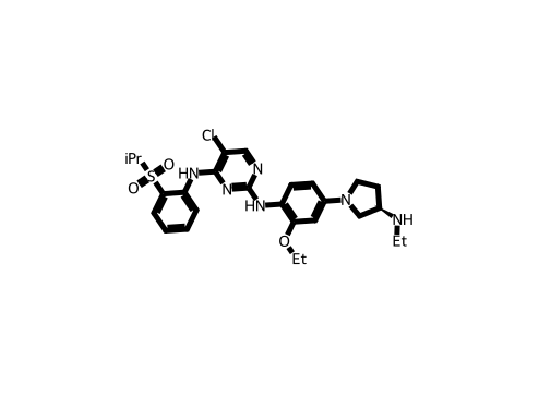 CCN[C@@H]1CCN(c2ccc(Nc3ncc(Cl)c(Nc4ccccc4S(=O)(=O)C(C)C)n3)c(OCC)c2)C1